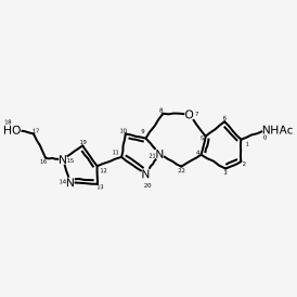 CC(=O)Nc1ccc2c(c1)OCc1cc(-c3cnn(CCO)c3)nn1C2